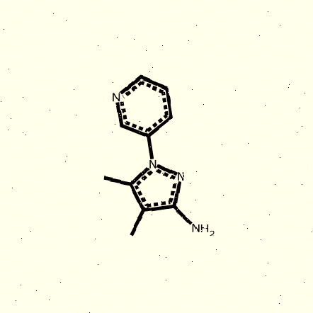 Cc1c(N)nn(-c2cccnc2)c1C